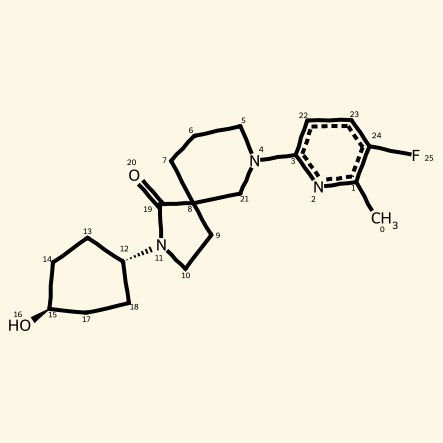 Cc1nc(N2CCCC3(CCN([C@H]4CC[C@H](O)CC4)C3=O)C2)ccc1F